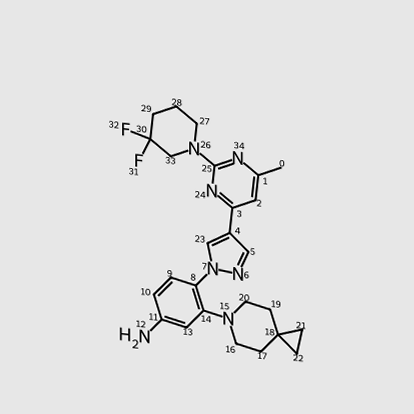 Cc1cc(-c2cnn(-c3ccc(N)cc3N3CCC4(CC3)CC4)c2)nc(N2CCCC(F)(F)C2)n1